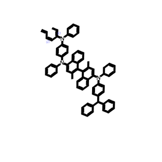 C=C/C=C\C(=C/C)N(c1ccccc1)c1ccc(N(c2ccccc2)c2cc(C)c(-c3c(C)cc(N(c4ccc(C(c5ccccc5)c5ccccc5)cc4)C4C=CC=CC4)c4ccccc34)c3ccccc23)cc1